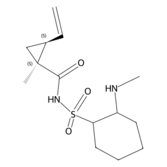 C=C[C@@H]1C[C@]1(C)C(=O)NS(=O)(=O)C1CCCCC1NC